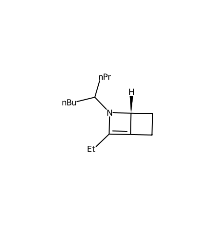 CCCCC(CCC)N1C(CC)=C2CC[C@H]21